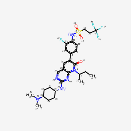 CCC(C)n1c(=O)c(-c2ccc(NS(=O)(=O)CCC(F)(F)F)c(F)c2)cc2cnc(N[C@H]3CC[C@H](N(C)C)CC3)nc21